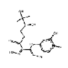 CC(C)(O)[C@@H](O)CSC(=N)C(=N\O)/C(=N/O)Nc1ccc(F)c(C#N)c1